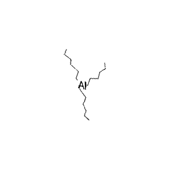 CCCCC[CH2][Al]([CH2]CCCCC)[CH2]CCCCC